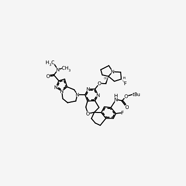 CN(C)C(=O)c1cc2n(n1)CCCN(c1nc(OC[C@@]34CCCN3C[C@H](F)C4)nc3c1COC1(CCCc4cc(F)c(NC(=O)OC(C)(C)C)cc41)C3)C2